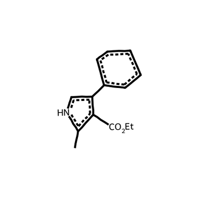 CCOC(=O)c1c(-c2ccccc2)c[nH]c1C